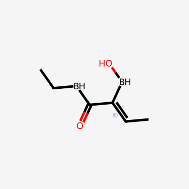 C/C=C(\BO)C(=O)BCC